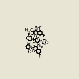 Cc1c(-n2ccccc2=O)nc2cc(F)cc(F)c2c1Nc1cc(N2CCOCC2)cnc1N1CCOCC1.Cc1c(Br)nc2cc(F)cc(F)c2c1Br